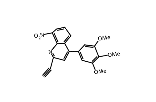 C#Cc1cc(-c2cc(OC)c(OC)c(OC)c2)c2cccc([N+](=O)[O-])c2n1